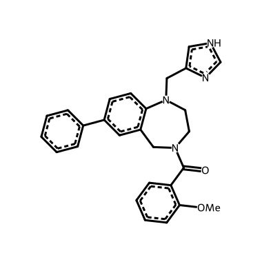 COc1ccccc1C(=O)N1CCN(Cc2c[nH]cn2)c2ccc(-c3ccccc3)cc2C1